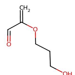 C=C(C=O)OCCCO